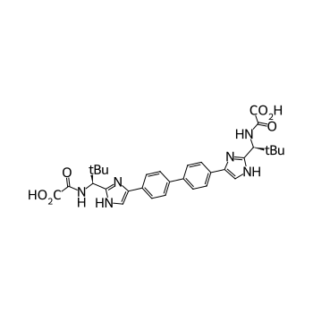 CC(C)(C)[C@H](NC(=O)C(=O)O)c1nc(-c2ccc(-c3ccc(-c4c[nH]c([C@@H](NC(=O)C(=O)O)C(C)(C)C)n4)cc3)cc2)c[nH]1